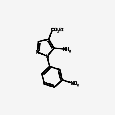 CCOC(=O)c1cnn(-c2cccc([N+](=O)[O-])c2)c1N